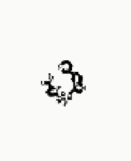 COC(=O)c1ccc(S(=O)(=O)N(C)/N=C/c2cnc3ccc(-c4cccnc4)cn23)n1C